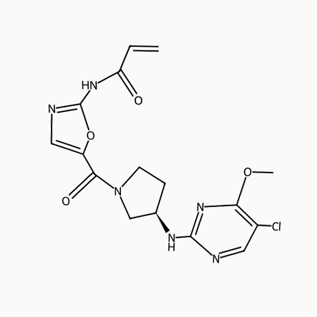 C=CC(=O)Nc1ncc(C(=O)N2CC[C@@H](Nc3ncc(Cl)c(OC)n3)C2)o1